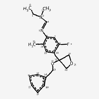 CCN(C)C=Nc1cc(F)c(C2(OCc3ccccc3)COC2)cc1C